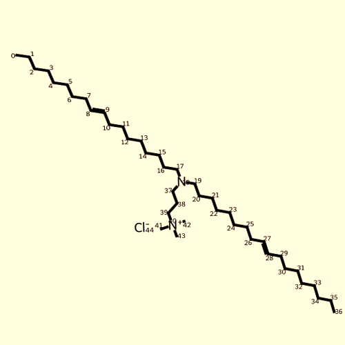 CCCCCCCCC=CCCCCCCCCN(CCCCCCCCC=CCCCCCCCC)CCC[N+](C)(C)C.[Cl-]